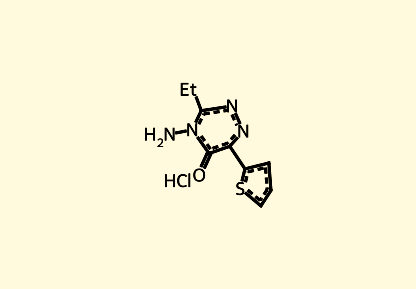 CCc1nnc(-c2cccs2)c(=O)n1N.Cl